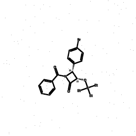 CC[Si](CC)(CC)O[C@@H]1C(=O)N(C(=O)c2ccccc2)[C@@H]1c1ccc(Br)cc1